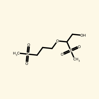 CS(=O)(=O)CCCOC(CO)S(C)(=O)=O